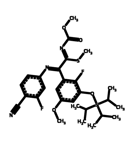 COC(=O)/N=C(SC)/C(=N/c1ccc(C#N)c(F)c1)c1cc(OC)cc(O[Si](C(C)C)(C(C)C)C(C)C)c1F